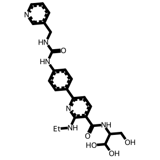 CCNc1nc(-c2ccc(NC(=O)NCc3cccnc3)cc2)ccc1C(=O)NC(CO)C(O)O